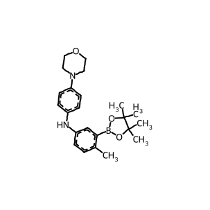 Cc1ccc(Nc2ccc(N3CCOCC3)cc2)cc1B1OC(C)(C)C(C)(C)O1